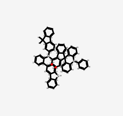 CC1(C)c2ccccc2-c2ccc(N(c3ccccc3-c3ccc4sc5ccccc5c4c3)c3cccc4c3-c3ccccc3C43c4ccccc4N(c4ccccc4)c4ccccc43)cc21